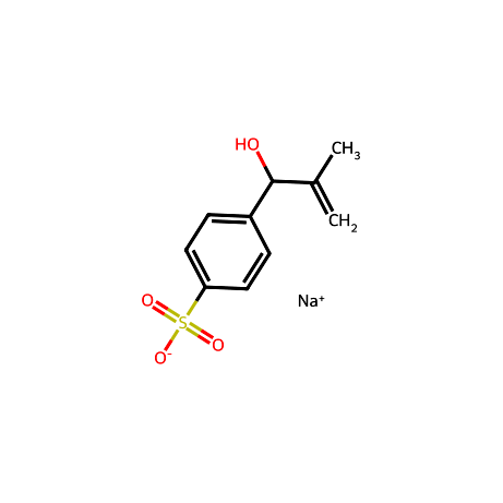 C=C(C)C(O)c1ccc(S(=O)(=O)[O-])cc1.[Na+]